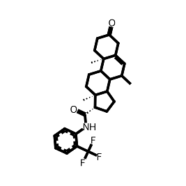 CC1C=C2CC(=O)CC[C@]2(C)C2CC[C@@]3(C)C(CC[C@@H]3C(=O)Nc3ccccc3C(F)(F)F)C12